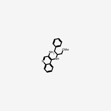 COCC(Cc1ccccc1)Nc1c(N)cnc2ccccc12